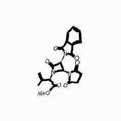 C=C(C)[C@H](C(=O)OC)N1C(=O)[C@@H](N2C(=O)c3ccccc3C2=O)[C@H]1N1C(=O)CCC1=O